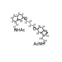 CC(=O)NCCc1cccc2ccc(OCCCCOc3ccc4scc(CCNC(C)=O)c4c3)cc12